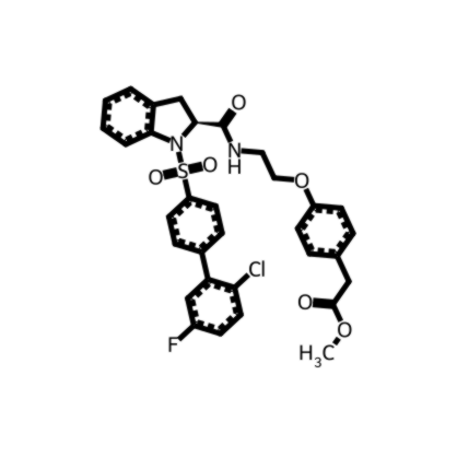 COC(=O)Cc1ccc(OCCNC(=O)[C@@H]2Cc3ccccc3N2S(=O)(=O)c2ccc(-c3cc(F)ccc3Cl)cc2)cc1